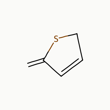 C=C1C=CCS1